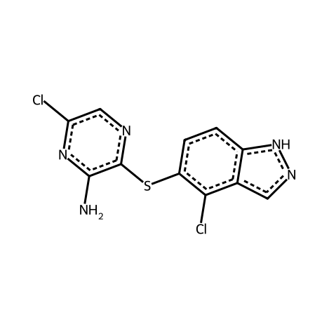 Nc1nc(Cl)cnc1Sc1ccc2[nH]ncc2c1Cl